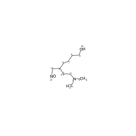 CN(C)CSC(CCCCO)CN=O